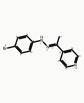 C/C(=N\Nc1ccc(Br)cc1)c1ccncc1